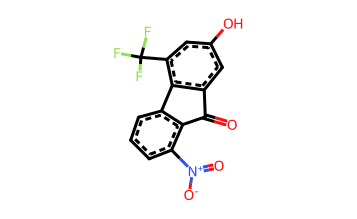 O=C1c2cc(O)cc(C(F)(F)F)c2-c2cccc([N+](=O)[O-])c21